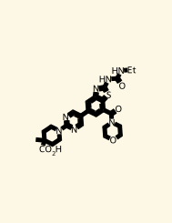 CCNC(=O)Nc1nc2cc(-c3cnc(N4CCC(C)(C(=O)O)CC4)nc3)cc(C(=O)N3CCOCC3)c2s1